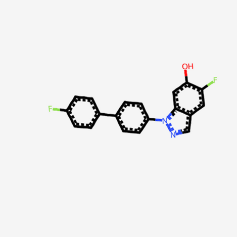 Oc1cc2c(cnn2-c2ccc(-c3ccc(F)cc3)cc2)cc1F